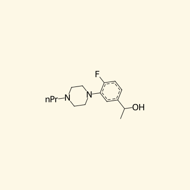 CCCN1CCN(c2cc(C(C)O)ccc2F)CC1